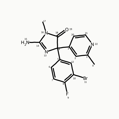 Cc1cc(C2(c3ccc(F)c(Br)c3)N=C(N)N(C)C2=O)ccn1